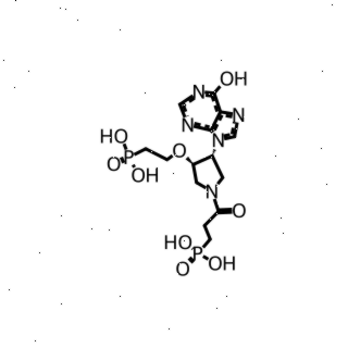 O=C(CCP(=O)(O)O)N1C[C@@H](n2cnc3c(O)ncnc32)[C@H](OCCP(=O)(O)O)C1